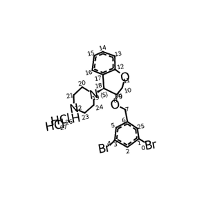 Brc1cc(Br)cc(CO[C@H]2COc3ccccc3[C@@H]2N2CCNCC2)c1.Cl.Cl